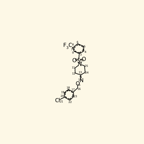 O=S(=O)(c1cccc(C(F)(F)F)c1)N1CCC(=NOCc2ccc(Cl)cc2)CC1